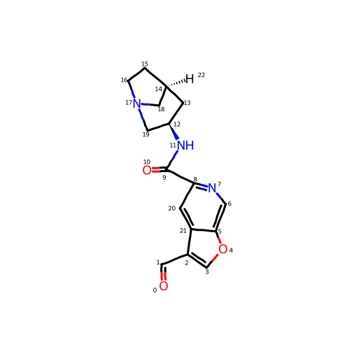 O=Cc1coc2cnc(C(=O)N[C@@H]3C[C@@H]4CCN(C4)C3)cc12